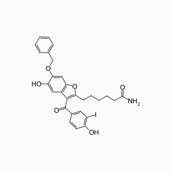 NC(=O)CCCCCc1oc2cc(OCc3ccccc3)c(O)cc2c1C(=O)c1ccc(O)c(I)c1